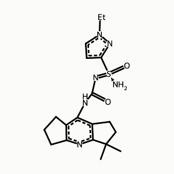 CCn1ccc([S@](N)(=O)=NC(=O)Nc2c3c(nc4c2CCC4(C)C)CCC3)n1